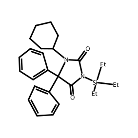 CC[Si](CC)(CC)N1C(=O)N(C2CCCCC2)C(c2ccccc2)(c2ccccc2)C1=O